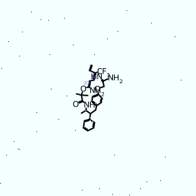 C=C/C(=C\C=C(/N)OC(C)(C)C(=O)NC(C)C(Cc1ccc(OCC(=N)N)cc1)c1ccccc1)C(F)(F)F